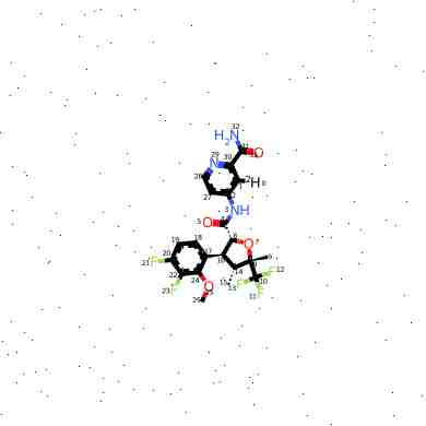 [2H]c1c(NC(=O)[C@@H]2O[C@](C)(C(F)(F)F)[C@H](C)[C@H]2c2ccc(F)c(F)c2OC)ccnc1C(N)=O